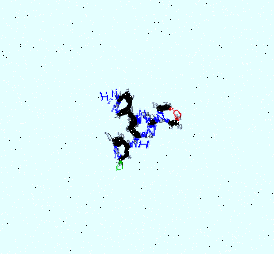 Nc1ccc(-c2cc(Nc3ccnc(Cl)c3)nc(N3CCOCC3)n2)cn1